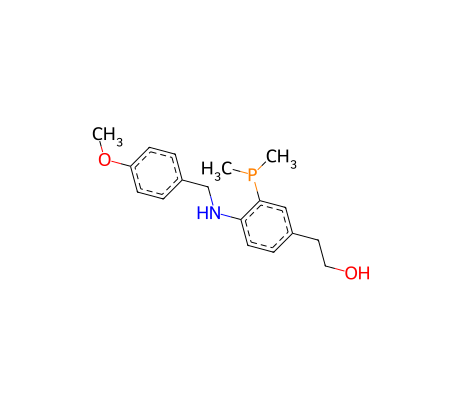 COc1ccc(CNc2ccc(CCO)cc2P(C)C)cc1